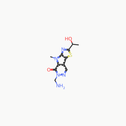 CC(O)c1nc2c(s1)c1cnn(CN)c(=O)c1n2C